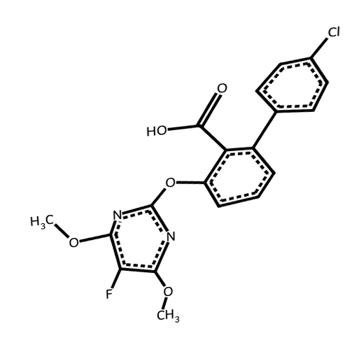 COc1nc(Oc2cccc(-c3ccc(Cl)cc3)c2C(=O)O)nc(OC)c1F